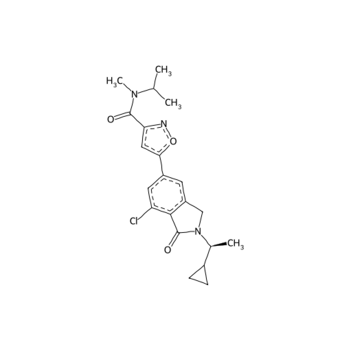 CC(C)N(C)C(=O)c1cc(-c2cc(Cl)c3c(c2)CN([C@@H](C)C2CC2)C3=O)on1